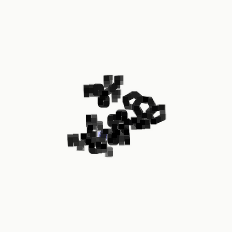 CC(C)(N)/C=C/S(=O)(=O)NC(=O)Nc1c2c(cc3c1CCC3)CCC2.O=C(O)C(F)(F)F